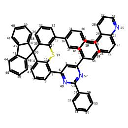 c1ccc(-c2cc(-c3cccc4c3Sc3c(-c5ccc(-c6cccc7ncccc67)cc5)cccc3C43c4ccccc4-c4ccccc43)nc(-c3ccccc3)n2)cc1